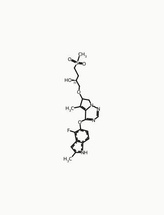 CC1=C2C(Oc3ccc4[nH]c(C)cc4c3F)=NC=NN2CC1OC[C@@H](O)CCS(C)(=O)=O